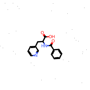 O=C(NC(Cc1cccnc1)C(=O)O)c1ccccc1